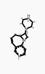 C1=Cc2cnccc2N2CC(N3CCNCC3)C2C1